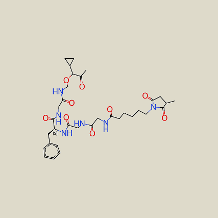 CC(=O)C(OCNC(=O)CNC(=O)[C@H](Cc1ccccc1)NC(=O)CNC(=O)CNC(=O)CCCCCN1C(=O)CC(C)C1=O)C1CC1